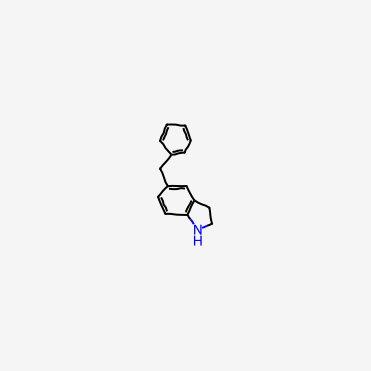 c1ccc(Cc2ccc3c(c2)CCN3)cc1